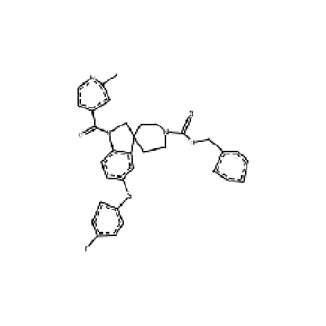 Cc1cc(C(=O)N2CC3(CCN(C(=O)OCc4ccccc4)CC3)c3cc(Sc4ccc(F)cc4)ccc32)ccn1